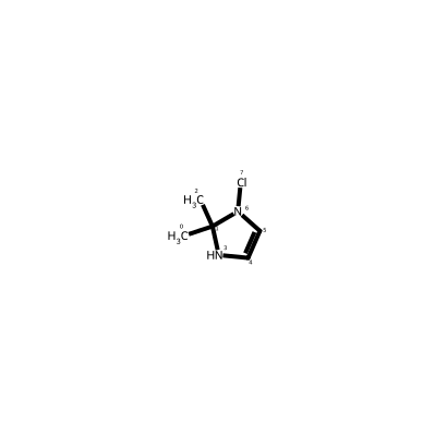 CC1(C)NC=CN1Cl